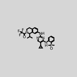 CC(C)C1c2cc(Nc3ncc(C4CC4)c(Nc4ccccc4P(C)(C)=O)n3)ccc2CCN1C(=O)C(F)(F)F